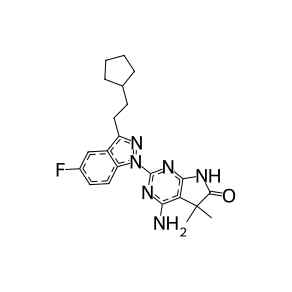 CC1(C)C(=O)Nc2nc(-n3nc(CCC4CCCC4)c4cc(F)ccc43)nc(N)c21